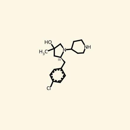 CC1(O)C[C@H](Cc2ccc(Cl)cc2)N(C2CCNCC2)C1